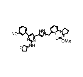 COC(=O)[C@H]1CCCN1c1cccc(Cn2cc(-c3cc(-c4cccc(C#N)c4)nc(N[C@@H]4CCOC4)n3)nn2)n1